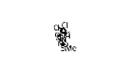 CSC(=O)N=C(N(C)C)N(C)C(=O)Nc1cc(Cl)c(Cl)cc1Cl